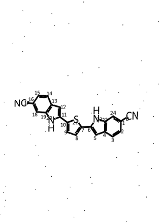 N#Cc1ccc2cc(-c3ccc(-c4cc5ccc(C#N)cc5[nH]4)s3)[nH]c2c1